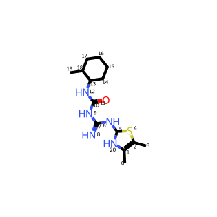 CC1=C(C)SC(NC(=N)NC(=O)NC2CCCCC2C)N1